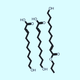 CCCOC(=O)C=CCCCCCCCO.O=C(O)C=CCCCCCCCO.O=C(O)C=CCCCCCCCO